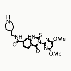 COc1cc(OC)nc(-n2c(=S)[nH]c3cc(C(=O)NCC4CCNCC4)ccc3c2=O)n1